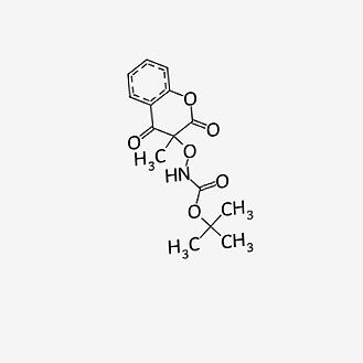 CC(C)(C)OC(=O)NOC1(C)C(=O)Oc2ccccc2C1=O